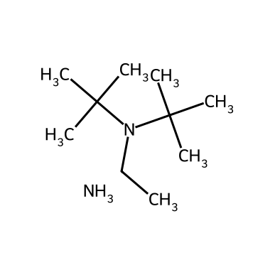 CCN(C(C)(C)C)C(C)(C)C.N